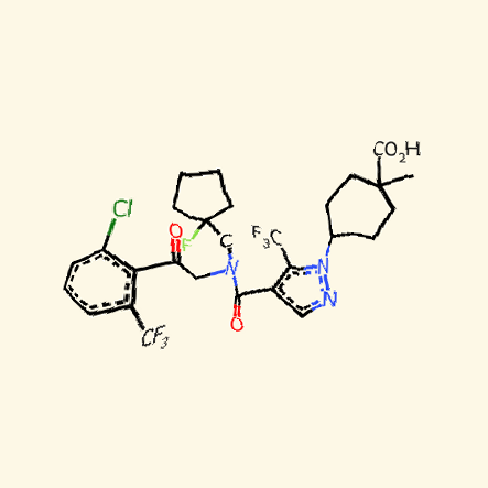 CC1(C(=O)O)CCC(n2ncc(C(=O)N(CC(=O)c3c(Cl)cccc3C(F)(F)F)CC3(F)CCCC3)c2C(F)(F)F)CC1